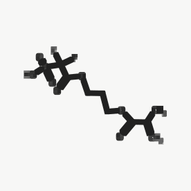 C=C(C)C(=O)OCCCOC(=O)C(F)(F)S(=O)(=O)O